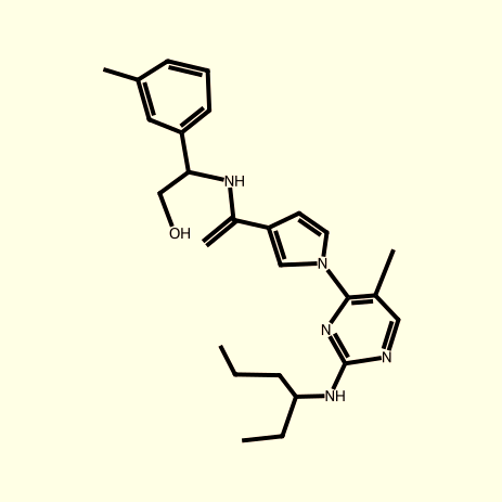 C=C(NC(CO)c1cccc(C)c1)c1ccn(-c2nc(NC(CC)CCC)ncc2C)c1